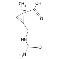 C[C@@]1(C(=O)O)C=C1CNC(N)=O